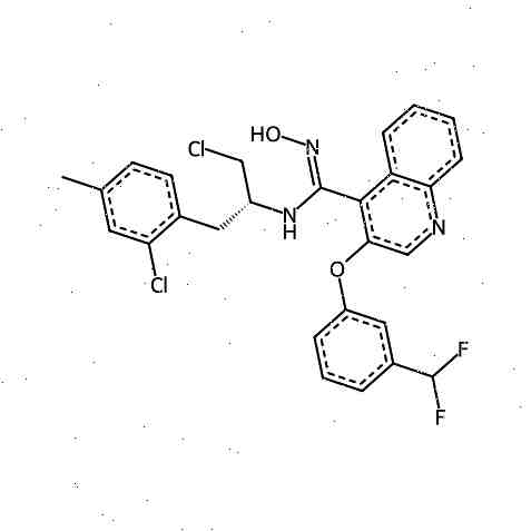 Cc1ccc(C[C@H](CCl)NC(=NO)c2c(Oc3cccc(C(F)F)c3)cnc3ccccc23)c(Cl)c1